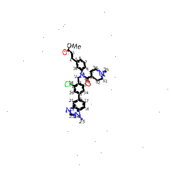 COC(=O)/C=C/c1cccc(N(Cc2ccc(-c3ccc4c(c3)ncn4C)cc2Cl)C(=O)C2CCN(C)CC2)c1